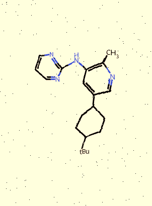 Cc1ncc(C2CCC(C(C)(C)C)CC2)cc1Nc1ncccn1